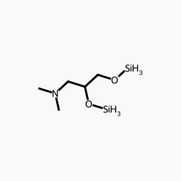 CN(C)CC(CO[SiH3])O[SiH3]